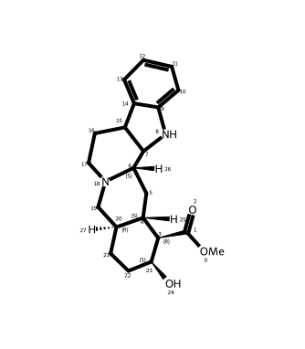 COC(=O)[C@@H]1[C@H]2C[C@H]3C4Nc5ccccc5C4CCN3C[C@@H]2CC[C@@H]1O